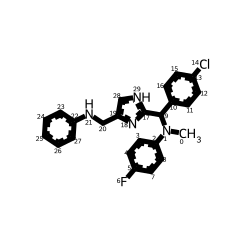 CN(c1ccc(F)cc1)C(c1ccc(Cl)cc1)c1nc(CNc2ccccc2)c[nH]1